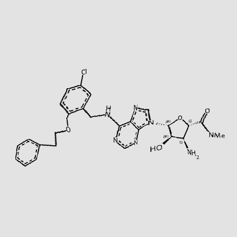 CNC(=O)[C@H]1O[C@@H](n2cnc3c(NCc4cc(Cl)ccc4OCCc4ccccc4)ncnc32)[C@H](O)[C@@H]1N